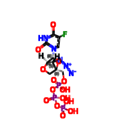 [N-]=[N+]=N[C@H]1[C@H]2OC[C@]1(COP(=O)(O)OP(=O)(O)OP(=O)(O)O)O[C@H]2n1cc(F)c(=O)[nH]c1=O